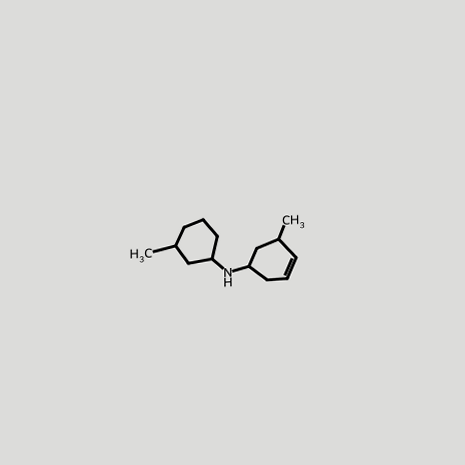 CC1C=CCC(NC2CCCC(C)C2)C1